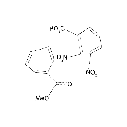 COC(=O)c1ccccc1.O=C(O)c1cccc([N+](=O)[O-])c1[N+](=O)[O-]